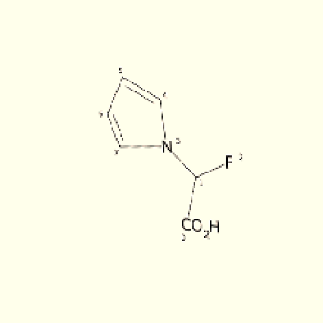 O=C(O)C(F)n1cccc1